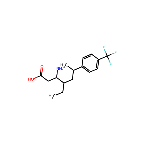 CCC(CC(C)c1ccc(C(F)(F)F)cc1)C(N)CC(=O)O